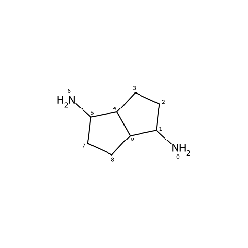 NC1CCC2C(N)CCC12